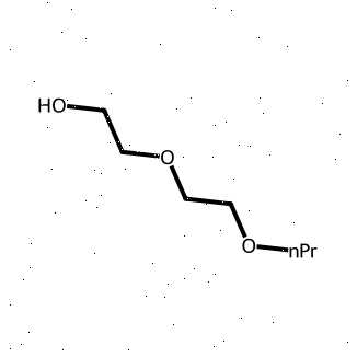 C[CH]COCCOCCO